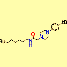 CC(C)(C)CCCCCCNC(=O)CN1CCN(c2ccc(C(C)(C)C)cc2)CC1